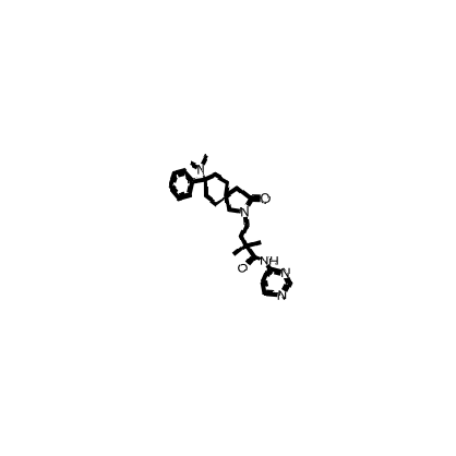 CN(C)[C@]1(c2ccccc2)CC[C@@]2(CC1)CC(=O)N(CCC(C)(C)C(=O)Nc1ccncn1)C2